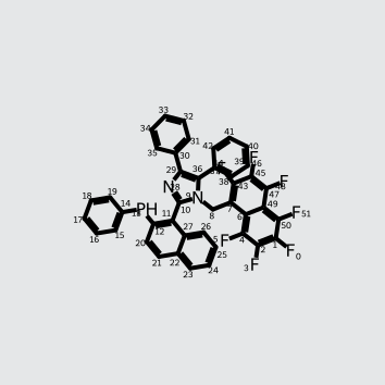 Fc1c(F)c(F)c2c(Cn3c(-c4c(Pc5ccccc5)ccc5ccccc45)nc(-c4ccccc4)c3-c3ccccc3)c(F)c(F)c(F)c2c1F